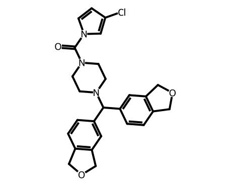 O=C(N1CCN(C(c2ccc3c(c2)COC3)c2ccc3c(c2)COC3)CC1)n1ccc(Cl)c1